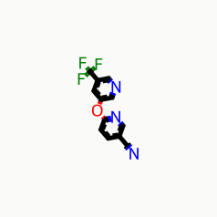 N#Cc1ccc(Oc2cncc(C(F)(F)F)c2)nc1